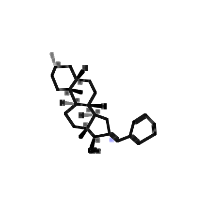 CC(=O)O[C@@H]1/C(=C/c2ccccc2)C[C@@H]2[C@H]3CC[C@H]4C[C@@H](C)CC[C@@]4(C)[C@@H]3CC[C@@]12C